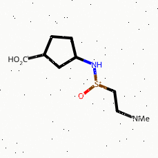 CNCC[S+]([O-])NC1CCC(C(=O)O)C1